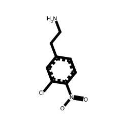 NCCc1ccc([N+](=O)[O-])c(Cl)c1